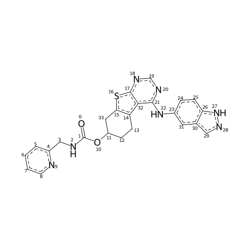 O=C(NCc1ccccn1)OC1CCc2c(sc3ncnc(Nc4ccc5[nH]ncc5c4)c23)C1